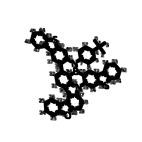 CC(C)(C)c1ccc(N2B3c4cc5c(cc4-n4c6ccc7oc8ccccc8c7c6c6ccc(c3c64)-c3cc4c(cc32)sc2ccccc24)sc2ccccc25)cc1